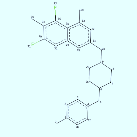 Cc1ccc(CC2CCC(Cc3cc(C)c4c(F)c(C)c(F)cc4c3)CC2)cc1